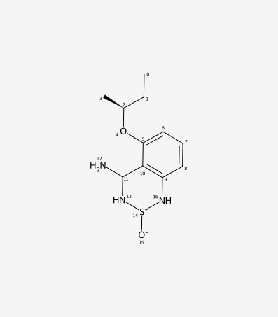 CC[C@H](C)Oc1cccc2c1C(N)N[S+]([O-])N2